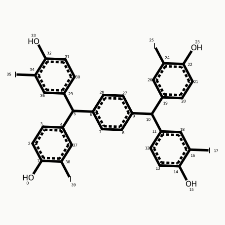 Oc1ccc(C(c2ccc(C(c3ccc(O)c(I)c3)c3ccc(O)c(I)c3)cc2)c2ccc(O)c(I)c2)cc1I